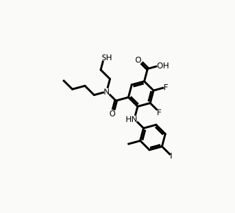 CCCCN(CCS)C(=O)c1cc(C(=O)O)c(F)c(F)c1Nc1ccc(I)cc1C